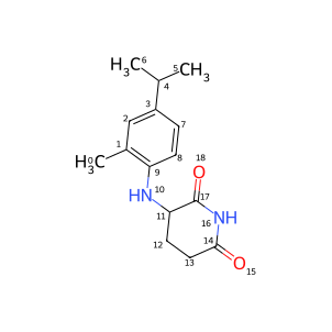 Cc1cc(C(C)C)ccc1NC1CCC(=O)NC1=O